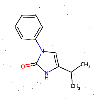 CC(C)c1cn(-c2ccccc2)c(=O)[nH]1